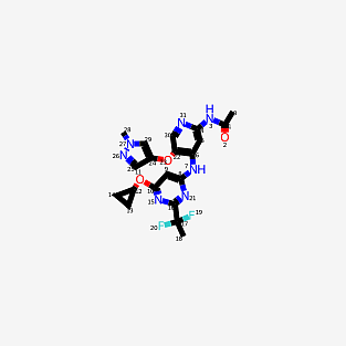 CC(=O)Nc1cc(Nc2cc(OC3CC3)nc(C(C)(F)F)n2)c(Oc2cnn(C)c2)cn1